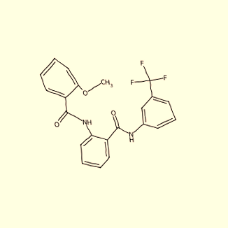 COc1ccccc1C(=O)Nc1ccccc1C(=O)Nc1cccc(C(F)(F)F)c1